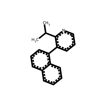 CC(C)c1ncccc1-c1cccc2ccccc12